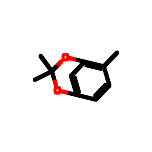 Cc1ccc2cc1OC(C)(C)O2